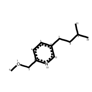 COCc1ccc(CCC(C)C)cn1